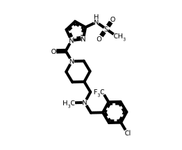 CN(Cc1cc(Cl)ccc1C(F)(F)F)CC1CCN(C(=O)n2ccc(NS(C)(=O)=O)n2)CC1